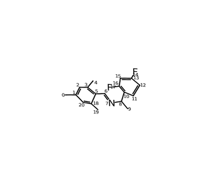 Cc1cc(C)c(C=NC(C)c2ccc(F)cc2F)c(C)c1